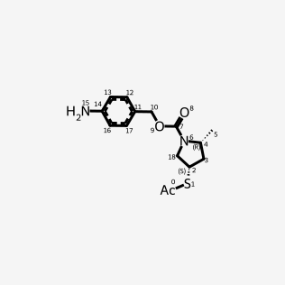 CC(=O)S[C@H]1C[C@@H](C)N(C(=O)OCc2ccc(N)cc2)C1